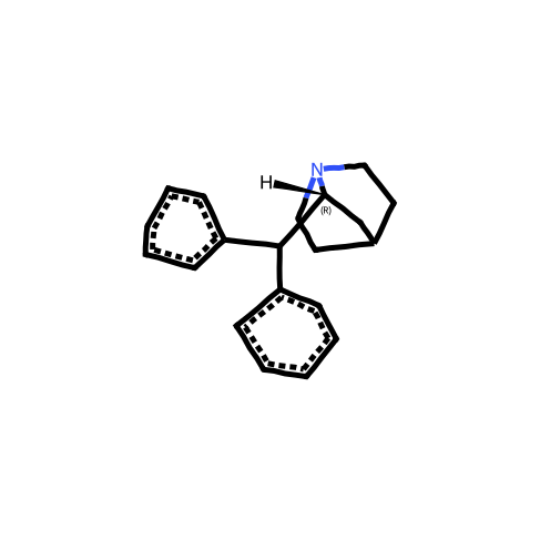 c1ccc(C(c2ccccc2)[C@H]2CC3CCN2CC3)cc1